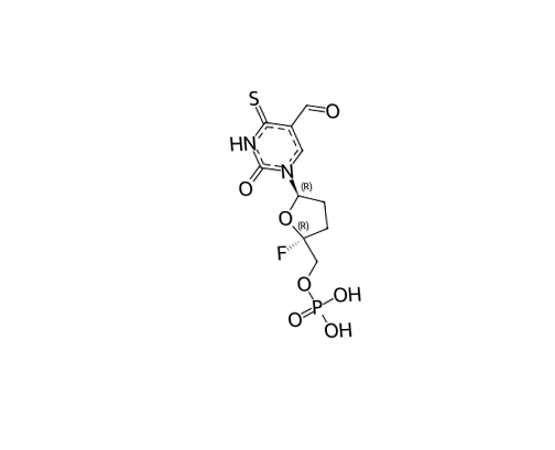 O=Cc1cn([C@H]2CC[C@@](F)(COP(=O)(O)O)O2)c(=O)[nH]c1=S